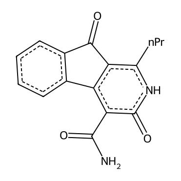 CCCc1[nH]c(=O)c(C(N)=O)c2c1C(=O)c1ccccc1-2